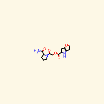 NC(=O)C1CCCN1C(=O)COC(=O)c1cc2occc2[nH]1